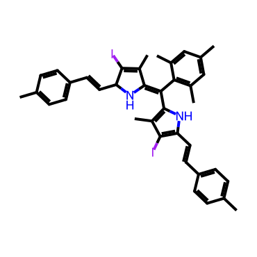 CC1=C(I)C(/C=C/c2ccc(C)cc2)N/C1=C(\c1[nH]c(/C=C/c2ccc(C)cc2)c(I)c1C)c1c(C)cc(C)cc1C